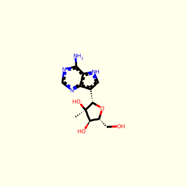 C[C@@]1(O)[C@H](O)[C@@H](CO)O[C@H]1c1c[nH]c2c(N)ncnc12